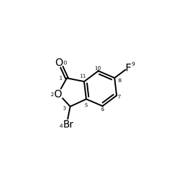 O=C1OC(Br)c2ccc(F)cc21